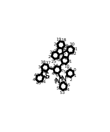 c1ccc(-n2c(-c3cc(-c4ccc5c(c4)C4(c6ccccc6-c6ccccc64)c4ccccc4-5)cc(-c4cccc5c4sc4ccccc45)c3)nc3ccccc32)cc1